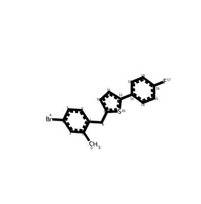 Cc1cc(Br)ccc1Cc1ccc(-c2ccc(F)cc2)s1